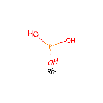 OP(O)O.[Rh]